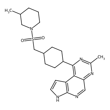 Cc1nc(C2CCC(CS(=O)(=O)N3CCCC(C)C3)CC2)c2c(cnc3[nH]ccc32)n1